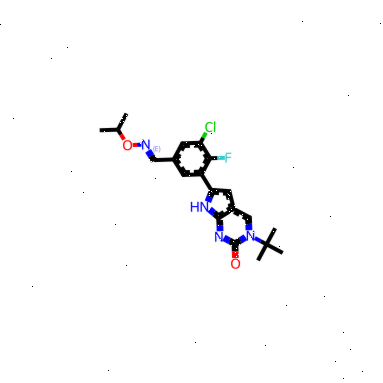 CC(C)O/N=C/c1cc(Cl)c(F)c(-c2cc3cn(C(C)(C)C)c(=O)nc3[nH]2)c1